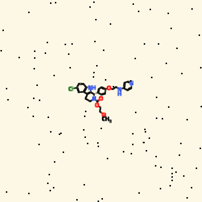 COCCOC(=O)N1CCc2c([nH]c3ccc(Cl)cc23)[C@@H]1c1ccc(OCCNc2ccncc2)cc1